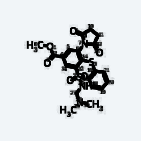 COC(=O)c1cc(N2C(=O)CCC2=O)c(Sc2ccccc2)c(S(=O)(=O)NCN(C)C)c1